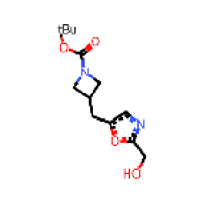 CC(C)(C)OC(=O)N1CC(Cc2cnc(CO)o2)C1